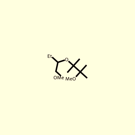 CCC(COC)OC(C)(C)C(C)(C)OC